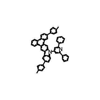 Cc1ccc(-c2ccc3c4ccccc4c4cc5c6cc(-c7ccc(C)cc7)ccc6n(-c6cc(-c7ccccc7)nc(-c7ccccc7)c6)c5cc4c3c2)cc1